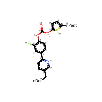 CCCCCCCCCCCc1ccc(-c2ccc(OC(=O)Oc3ccc(CCCCC)s3)c(F)c2)nc1